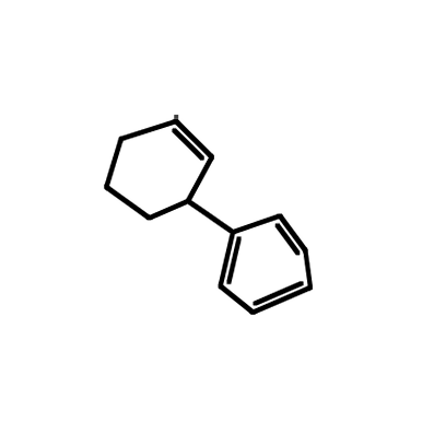 [C]1=CC(c2ccccc2)CCC1